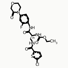 CCOC(=O)N[C@H](CNC(=O)c1ccc(Cl)s1)C(=O)Nc1ccc(N2CCOCC2=O)cc1F